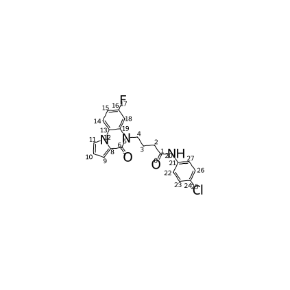 O=C(CCCn1c(=O)c2cccn2c2ccc(F)cc21)Nc1ccc(Cl)cc1